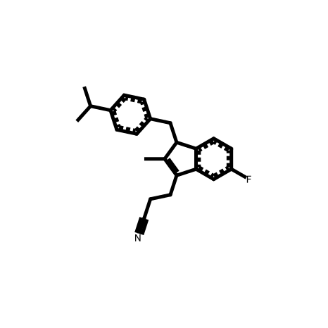 CC1=C(CCC#N)c2cc(F)ccc2C1Cc1ccc(C(C)C)cc1